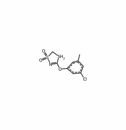 Cc1cc(Cl)cc(OC2=NS(=O)(=O)C[SH2]2)c1